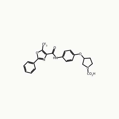 O=C(Nc1ccc(OC2CCN(C(=O)O)C2)cc1)c1nc(-c2ccccc2)oc1C(F)(F)F